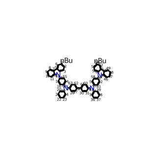 CCCCc1ccc2c(c1)c1ccccc1n2-c1ccc(N(c2ccccc2)c2ccc(-c3ccc(N(c4ccccc4)c4ccc(-n5c6ccccc6c6cc(CCCC)ccc65)cc4)cc3)cc2)cc1